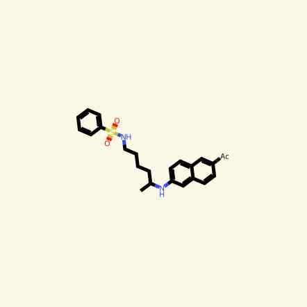 CC(=O)c1ccc2cc(NC(C)CCCCNS(=O)(=O)c3ccccc3)ccc2c1